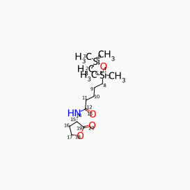 C[Si](C)(C)O[Si](C)(C)CCCCC(=O)N[C@H]1CCOC1=O